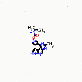 Cc1nc(C2CCN(OC(=O)NC(C)C)C2)c2c(cnc3[nH]ccc32)n1